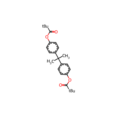 CC(C)(C)C(=O)Oc1ccc(C(C)(C)c2ccc(OC(=O)C(C)(C)C)cc2)cc1